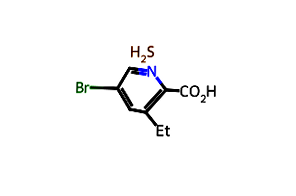 CCc1cc(Br)cnc1C(=O)O.S